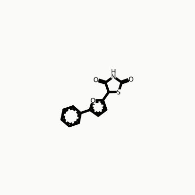 O=C1NC(=O)C(c2ccc(-c3ccccc3)o2)S1